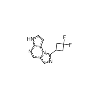 FC1(F)CC(c2ncc3cnc4[nH]ccc4n23)C1